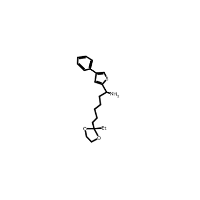 CCC1(CCCCCC(N)c2cc(-c3ccccc3)cs2)OCCO1